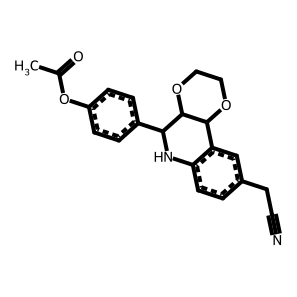 CC(=O)Oc1ccc(C2Nc3ccc(CC#N)cc3C3OCCOC23)cc1